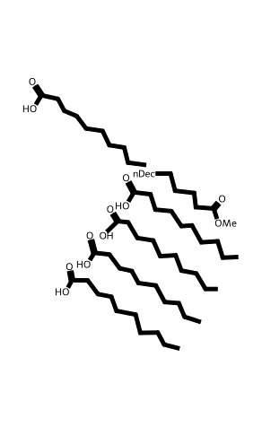 CCCCCCCCCC(=O)O.CCCCCCCCCC(=O)O.CCCCCCCCCC(=O)O.CCCCCCCCCC(=O)O.CCCCCCCCCC(=O)O.CCCCCCCCCCCCCCC(=O)OC